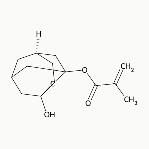 C=C(C)C(=O)OC12CC3C[C@H](CCC(O)(C3)C1)C2